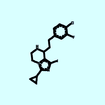 Fc1cc(CCC2NCCn3c(C4CC4)nc(I)c32)ccc1Cl